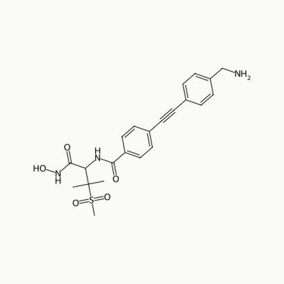 CC(C)(C(NC(=O)c1ccc(C#Cc2ccc(CN)cc2)cc1)C(=O)NO)S(C)(=O)=O